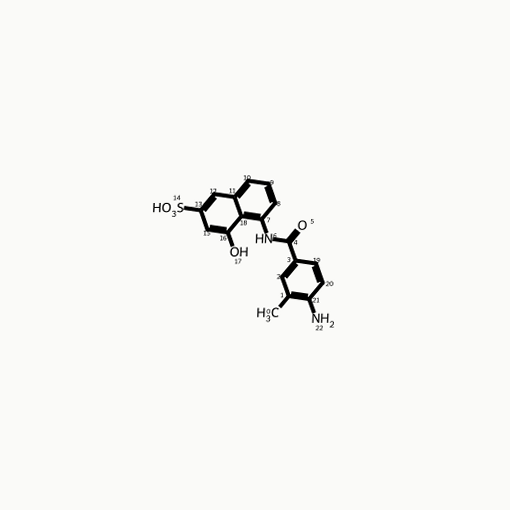 Cc1cc(C(=O)Nc2cccc3cc(S(=O)(=O)O)cc(O)c23)ccc1N